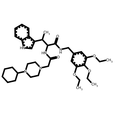 CCOc1cc(CNC(=O)C(NC(=O)CN2CCN(C3CCCCC3)CC2)C(C)c2c[nH]c3ccccc23)cc(OCC)c1OCC